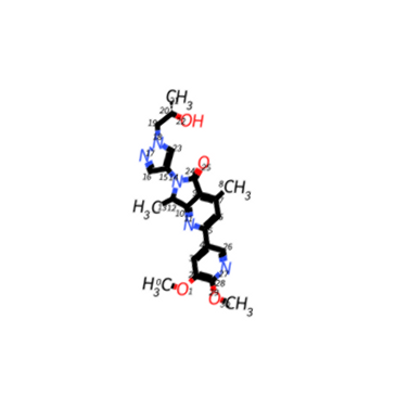 COc1cc(-c2cc(C)c3c(n2)C(C)N(c2cnn(C[C@H](C)O)c2)C3=O)cnc1OC